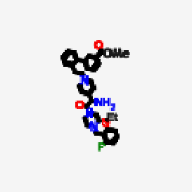 CCOc1cccc(F)c1CN1CCN(C(=O)[C@H](N)C2CCN(CCc3ccccc3-c3cccc(C(=O)OC)c3)CC2)CC1